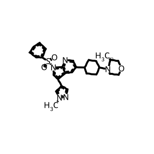 C[C@H]1COCCN1C1CCC(c2cnc3c(c2)c(-c2cnn(C)c2)cn3S(=O)(=O)c2ccccc2)CC1